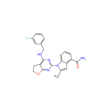 Cc1cc2c(C(N)=O)cccc2n1-c1nc(NCc2cccc(F)c2)c2c(n1)OCC2